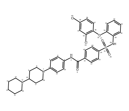 O=C(Nc1ccc(N2CCC(N3CCCCC3)CC2)cc1)c1ccc(S(=O)(=O)Nc2ccccc2Oc2ccc(Cl)cc2Cl)cc1